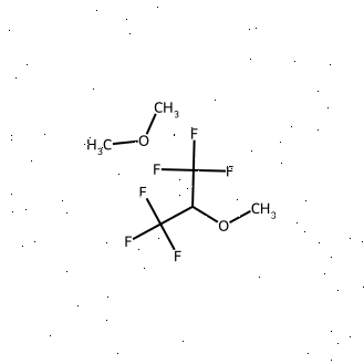 COC.COC(C(F)(F)F)C(F)(F)F